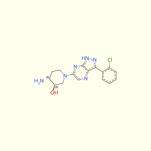 N[C@@H]1CCN(c2cnc3c(-c4ccccc4Cl)n[nH]c3n2)C[C@H]1O